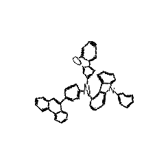 c1ccc(-n2c3ccccc3c3c(N(c4ccc(-c5cc6ccccc6c6ccccc56)cc4)c4ccc5c(c4)oc4ccccc45)cccc32)cc1